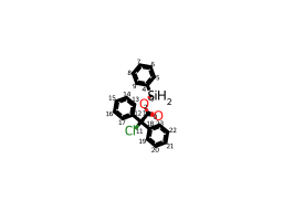 O=C(O[SiH2]c1ccccc1)C(Cl)(c1ccccc1)c1ccccc1